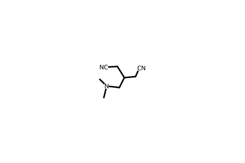 CN(C)CC(CC#N)CC#N